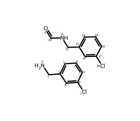 NCc1cccc(Cl)c1.O=CNCc1cccc(Cl)c1